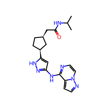 CC(C)NC(=O)C[C@@H]1CC[C@H](c2cc(Nc3nccn4nccc34)n[nH]2)C1